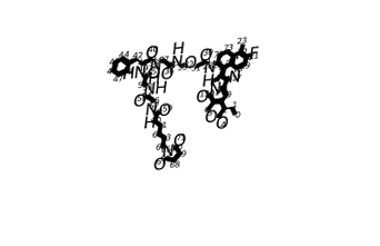 CC[C@H]1C(=O)OCc2c1cc1n(c2=O)Cc2c-1nc1cc(F)c(C)c3c1c2[C@@H](NC(=O)COCNC(=O)CNC(=O)[C@H](Cc1ccccc1)NC(=O)CNC(=O)CNC(=O)CCCCCN1C(=O)C=CC1=O)CC3